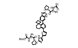 CCC(=O)N[C@H](C(=O)N1CCC[C@H]1c1nc2ccc(-c3ccc(-c4ccc(-c5cnc([C@@H]6CCCN6C(=O)[C@@H](NC(=O)OC)C(C)C)[nH]5)s4)c4c3C3(CCC4)CCC3)cc2[nH]1)C(C)C